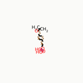 C=C(C)C(=O)SCC1CSC(CSCCOP(=O)(O)O)CS1